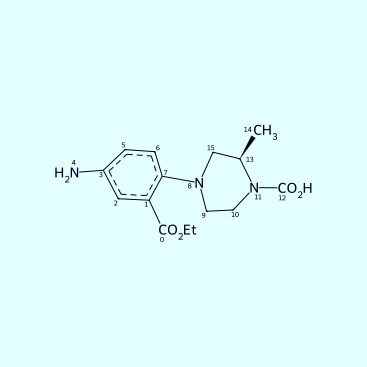 CCOC(=O)c1cc(N)ccc1N1CCN(C(=O)O)[C@H](C)C1